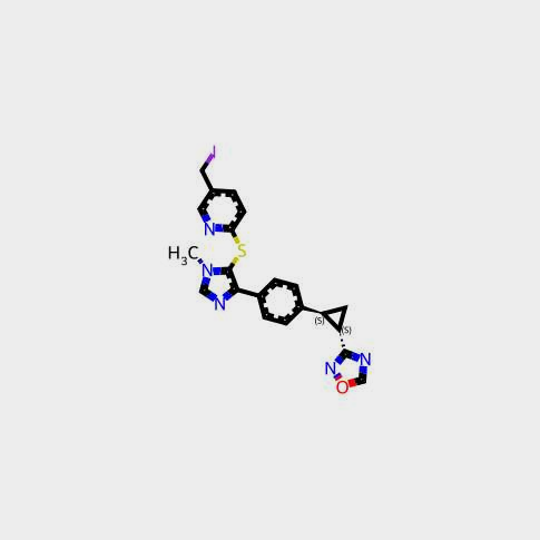 Cn1cnc(-c2ccc([C@H]3C[C@@H]3c3ncon3)cc2)c1Sc1ccc(CI)cn1